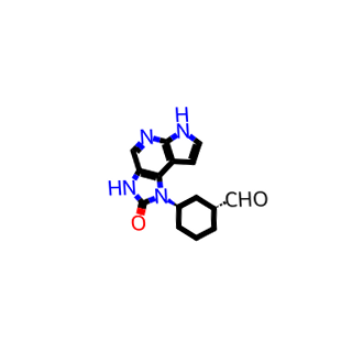 O=C[C@@H]1CCC[C@@H](n2c(=O)[nH]c3cnc4[nH]ccc4c32)C1